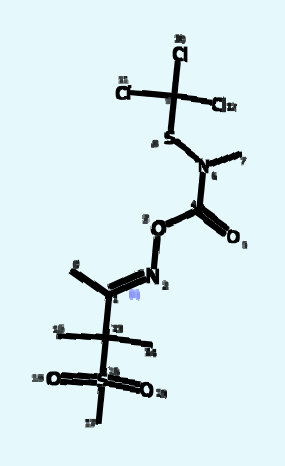 C/C(=N\OC(=O)N(C)SC(Cl)(Cl)Cl)C(C)(C)S(C)(=O)=O